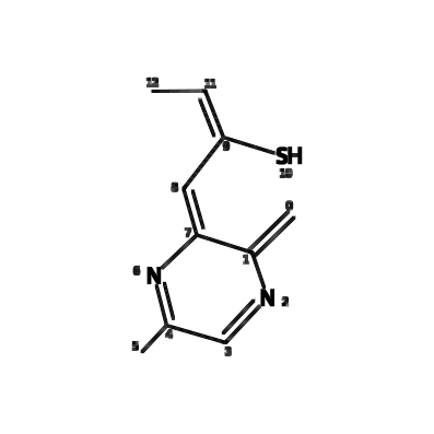 C=c1ncc(C)n/c1=C/C(S)=C\C